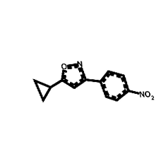 O=[N+]([O-])c1ccc(-c2cc(C3CC3)on2)cc1